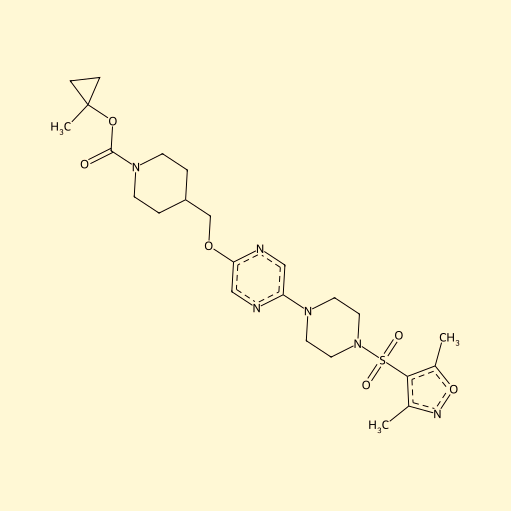 Cc1noc(C)c1S(=O)(=O)N1CCN(c2cnc(OCC3CCN(C(=O)OC4(C)CC4)CC3)cn2)CC1